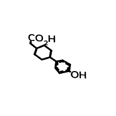 O=C(O)CC1CCC(c2ccc(O)cc2)CC1